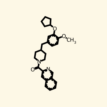 COc1ccc(CC2CCN(C(=O)c3cc4ccccc4cn3)CC2)cc1OC1CCCC1